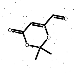 CC1(C)OC(=O)C=C(C=O)O1